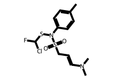 Cc1ccc(N(SC(F)Cl)S(=O)(=O)CC=CN(C)C)cc1